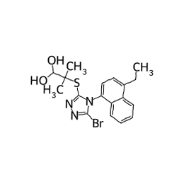 CCc1ccc(-n2c(Br)nnc2SC(C)(C)C(O)O)c2ccccc12